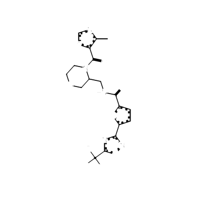 Cc1ncsc1C(=O)N1CCOCC1CNC(=O)c1ccc(-c2noc(C(F)(F)F)n2)s1